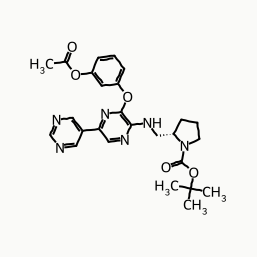 CC(=O)Oc1cccc(Oc2nc(-c3cncnc3)cnc2NC[C@@H]2CCCN2C(=O)OC(C)(C)C)c1